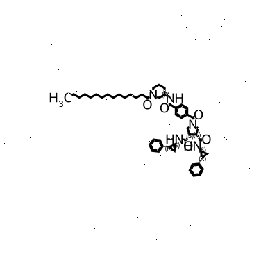 CCCCCCCCCCCCCCC(=O)N1CCC[C@@H](NC(=O)c2ccc(C(=O)N3C[C@@H](C(=O)N[C@H]4C[C@@H]4c4ccccc4)[C@H](C(=O)N[C@H]4C[C@@H]4c4ccccc4)C3)cc2)C1